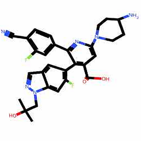 CC(C)(O)Cn1ncc2cc(-c3c(C(=O)O)cc(N4CCC(N)CC4)nc3-c3ccc(C#N)c(F)c3)c(F)cc21